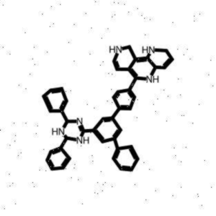 C1=CC2NC(c3ccc(-c4cc(C5=NC(c6ccccc6)NC(c6ccccc6)N5)cc(-c5ccccc5)c4)cc3)=C3C=CNCC3=C2NC1